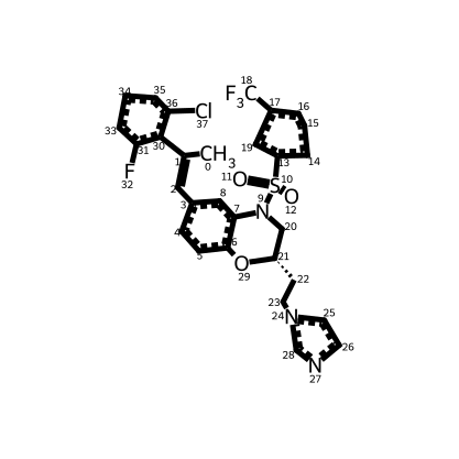 CC(=Cc1ccc2c(c1)N(S(=O)(=O)c1cccc(C(F)(F)F)c1)C[C@H](CCn1ccnc1)O2)c1c(F)cccc1Cl